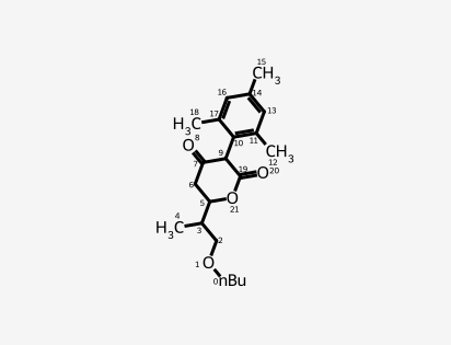 CCCCOCC(C)C1CC(=O)C(c2c(C)cc(C)cc2C)C(=O)O1